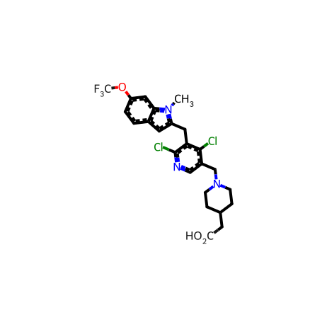 Cn1c(Cc2c(Cl)ncc(CN3CCC(CC(=O)O)CC3)c2Cl)cc2ccc(OC(F)(F)F)cc21